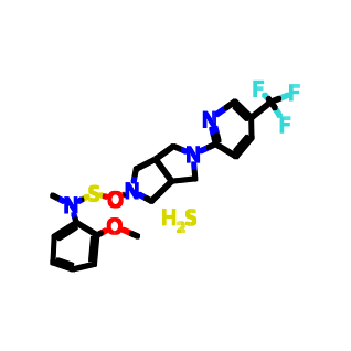 COc1ccccc1N(C)SON1CC2CN(c3ccc(C(F)(F)F)cn3)CC2C1.S